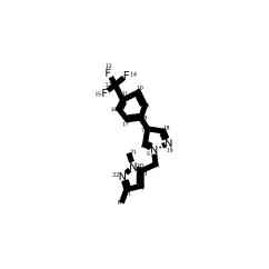 Cc1cc(C[N+]2=CC(c3ccc(C(F)(F)F)cc3)C=N2)n(C)n1